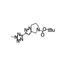 Cn1nnc(-c2cc3n(n2)CCCN(C(=O)OC(C)(C)C)C3)n1